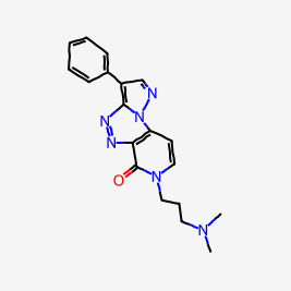 CN(C)CCCn1ccc2c(nnc3c(-c4ccccc4)cnn32)c1=O